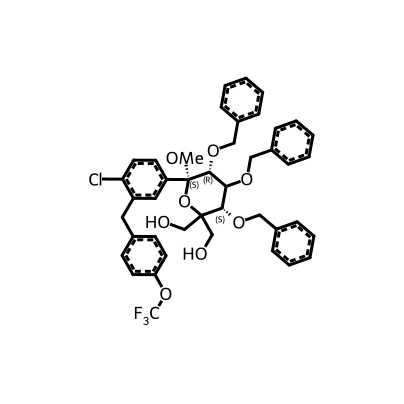 CO[C@@]1(c2ccc(Cl)c(Cc3ccc(OC(F)(F)F)cc3)c2)OC(CO)(CO)[C@@H](OCc2ccccc2)C(OCc2ccccc2)[C@H]1OCc1ccccc1